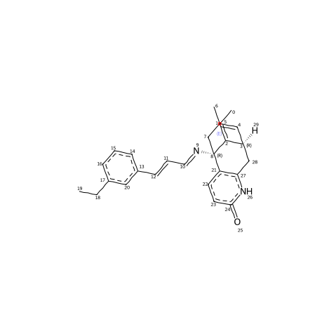 C/C=C1\[C@H]2C=C(C)C[C@]1(N=CC=Cc1cccc(CC)c1)c1ccc(=O)[nH]c1C2